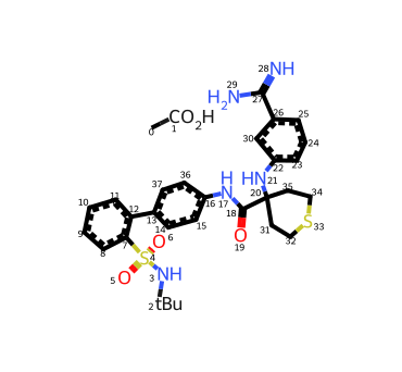 CC(=O)O.CC(C)(C)NS(=O)(=O)c1ccccc1-c1ccc(NC(=O)C2(Nc3cccc(C(=N)N)c3)CCSCC2)cc1